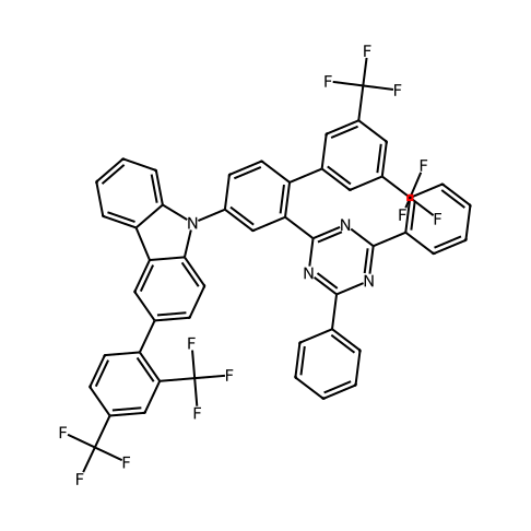 FC(F)(F)c1cc(-c2ccc(-n3c4ccccc4c4cc(-c5ccc(C(F)(F)F)cc5C(F)(F)F)ccc43)cc2-c2nc(-c3ccccc3)nc(-c3ccccc3)n2)cc(C(F)(F)F)c1